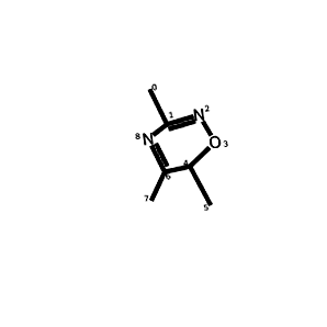 CC1=NOC(C)C(C)=N1